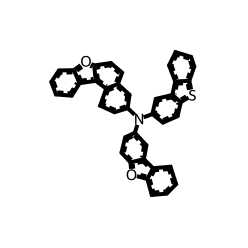 c1ccc2c(c1)oc1ccc(N(c3ccc4c(ccc5oc6ccccc6c54)c3)c3ccc4sc5ccccc5c4c3)cc12